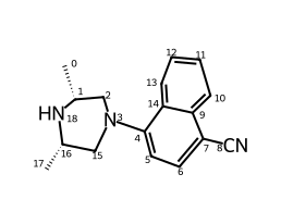 C[C@@H]1CN(c2ccc(C#N)c3ccccc23)C[C@H](C)N1